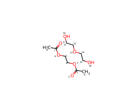 CC(=O)OCCOC(C)=O.OCCOCCO